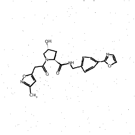 Cc1cc(CC(=O)N2C[C@H](O)C[C@H]2C(=O)NCc2ccc(-c3ncco3)cc2)on1